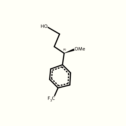 CO[C@H](CCO)c1ccc(C(F)(F)F)cc1